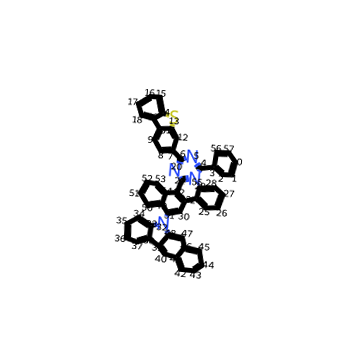 c1ccc(-c2nc(-c3ccc4c(c3)sc3ccccc34)nc(-c3c(-c4ccccc4)cc(-n4c5ccccc5c5cc6ccccc6cc54)c4ccccc34)n2)cc1